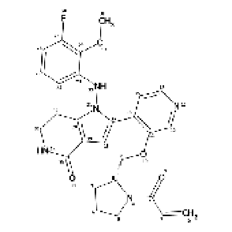 C=CC(=O)N1CCC[C@@H]1COc1cnccc1-c1cc2c(n1Nc1cccc(F)c1OC)CCNC2=O